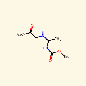 COC(=O)CNC(C)NC(=O)OC(C)(C)C